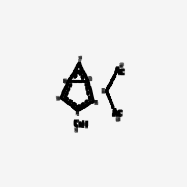 CC(=O)CC(C)=O.[CsH].c1cc2cc-2c1